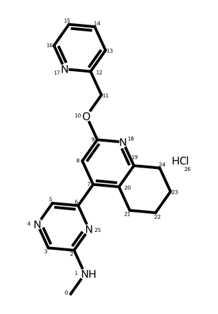 CNc1cncc(-c2cc(OCc3ccccn3)nc3c2CCCC3)n1.Cl